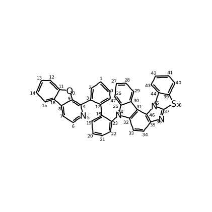 c1ccc(-c2nccc3c2oc2ccccc23)c(-c2ccccc2-n2c3ccccc3c3c2ccc2nc4sc5ccccc5n4c23)c1